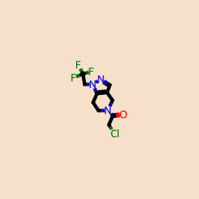 O=C(CCl)N1CCc2c(cnn2CC(F)(F)F)C1